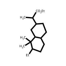 CCOC(=O)C(C)C1CCC2CCC(CC)C(C)(C)C2C1